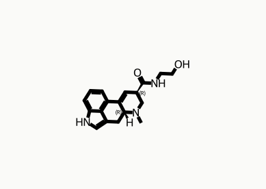 CN1C[C@H](C(=O)NCCO)C=C2c3cccc4[nH]cc(c34)C[C@H]21